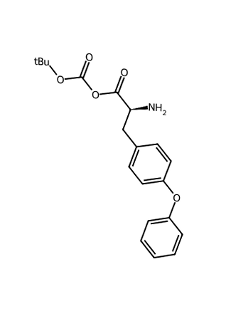 CC(C)(C)OC(=O)OC(=O)[C@@H](N)Cc1ccc(Oc2ccccc2)cc1